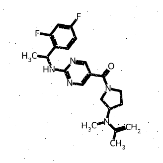 C=C(C)N(C)C1CCN(C(=O)c2cnc(NC(C)c3ccc(F)cc3F)nc2)C1